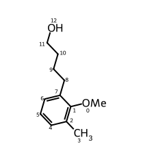 COc1c(C)cccc1CCCCO